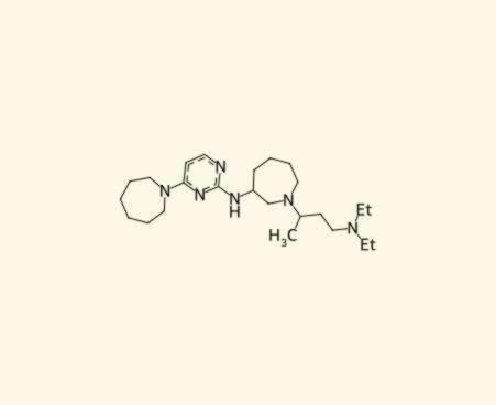 CCN(CC)CCC(C)N1CCCCC(Nc2nccc(N3CCCCCC3)n2)C1